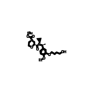 CCOc1ccc([C@@H](C)N(C(=O)[C@H]2CN(C(=O)OC(C)(C)C)CCO2)C2CC2)cc1OCCCCO